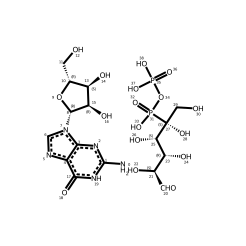 Nc1nc2c(ncn2[C@@H]2O[C@H](CO)[C@@H](O)[C@H]2O)c(=O)[nH]1.O=C[C@@H](O)[C@@H](O)[C@H](O)[C@](O)(CO)P(=O)(O)OP(=O)(O)O